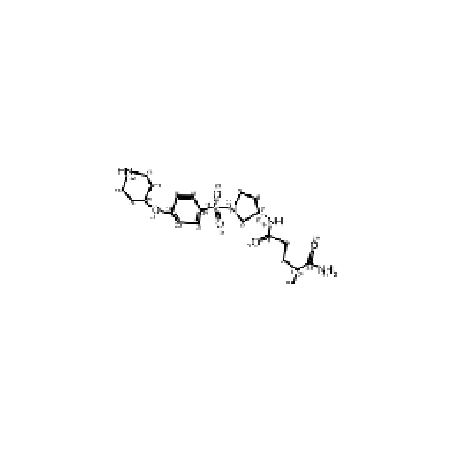 C[C@@H](C[CH]C(=O)N[C@H]1CCN(S(=O)(=O)c2ccc(OC3CCNCC3)cc2)C1)C(N)=O